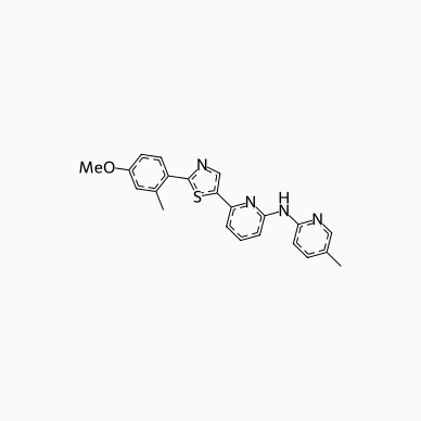 COc1ccc(-c2ncc(-c3cccc(Nc4ccc(C)cn4)n3)s2)c(C)c1